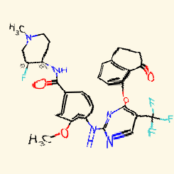 COc1cc(C(=O)N[C@H]2CCN(C)C[C@@H]2F)ccc1Nc1ncc(C(F)(F)F)c(Oc2cccc3c2C(=O)CC3)n1